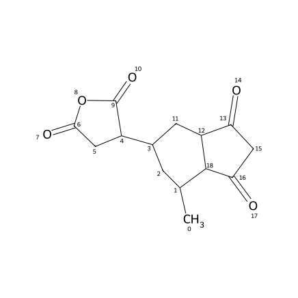 CC1CC(C2CC(=O)OC2=O)CC2C(=O)CC(=O)C12